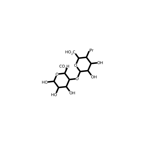 CC(C)C1C(C(=O)O)OC(OC2C(C(=O)O)OC(O)C(O)C2O)C(O)C1O